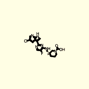 O=C(O)N1CCC[C@H](CNc2nc(-c3c[nH]c4ncc(Cl)cc34)ncc2F)C1